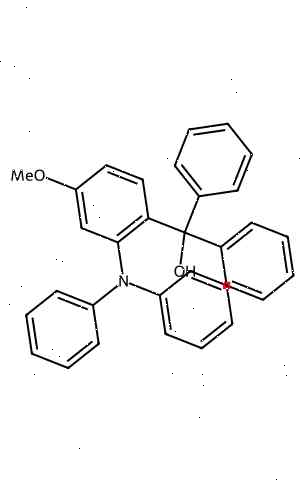 COc1ccc(C(O)(c2ccccc2)c2ccccc2)c(N(c2ccccc2)c2ccccc2)c1